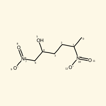 CC(CCC(O)C[N+](=O)[O-])[N+](=O)[O-]